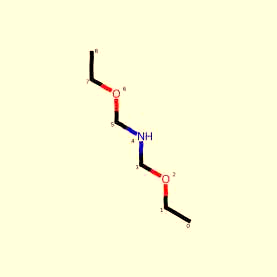 CCOCNCOCC